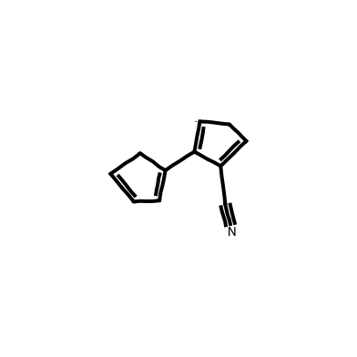 N#CC1=CC[C]=C1C1=CC=CC1